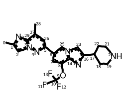 Cc1cn2nc(-c3cc(OC(F)(F)F)c4nc(C5CCNCC5)cn4c3)cc(C)c2n1